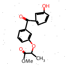 COC(=O)C(C)Oc1cccc(C(=O)c2cccc(O)c2)c1